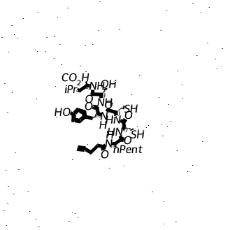 C#CCCC(=O)N[C@@H](CCCCC)C(=O)N[C@@H](CS)C(=O)N[C@@H](CS)C(=O)N[C@H](Cc1ccc(O)cc1)C(=O)N[C@@H](CO)C(=O)N[C@@H](CC(C)C)C(=O)O